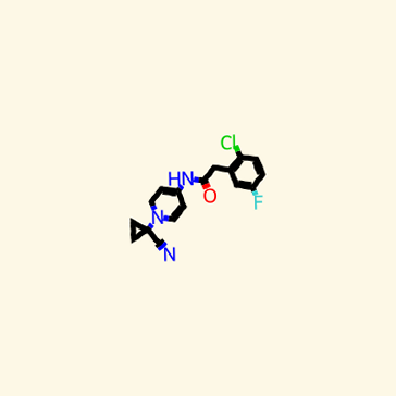 N#CC1(N2C=CC(NC(=O)Cc3cc(F)ccc3Cl)=CC2)CC1